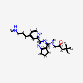 CNCCCc1ccnc(-c2nc3c(c(N(C)CC(=O)CC(C)(C)C)n2)CCC3)c1